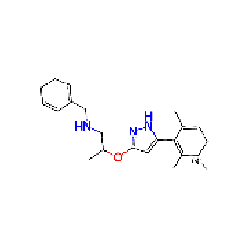 CC1=CC[C@H](C)C(C)=C1c1cc(OC(C)CNCC2=CCCC=C2)n[nH]1